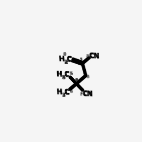 C=C(C#N)CC(C)(C)C#N